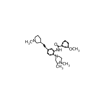 COc1cccc(C(=O)Nc2cc(C#CC3CCCN(C)C3)ccc2N2CCN(C)[C@@H](C)C2)c1